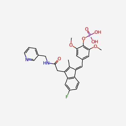 COc1cc(C=C2C(C)=C(CC(=O)NCc3cccnc3)c3cc(F)ccc32)cc(OC)c1OP(=O)(O)O